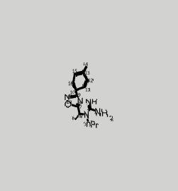 CCCN(C(=N)N)[C@@H](C)c1nc(-c2ccc(C)cc2)no1